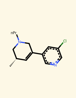 CCCN1CC(c2cncc(Cl)c2)=C[C@H](C)C1